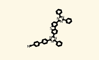 N#Cc1ccc(-c2ccc(-c3nc(-c4ccccc4)nc(-c4ccc5c(c4)sc4ccc(-c6nc(-c7ccccc7)nc(-c7ccccc7)n6)cc45)n3)cc2)cc1